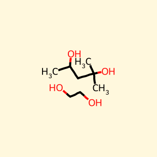 CC(O)CC(C)(C)O.OCCO